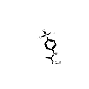 CC(Nc1ccc(P(=O)(O)O)cc1)C(=O)O